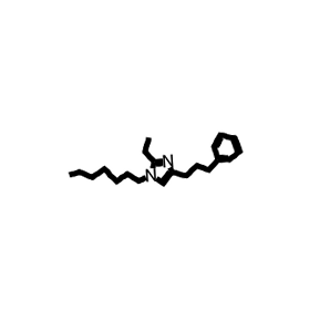 CCCCCCCn1cc(CCCc2ccccc2)nc1CC